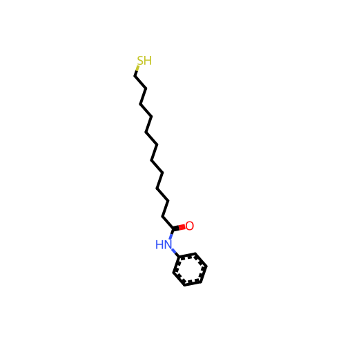 O=C(CCCCCCCCCCCS)Nc1ccccc1